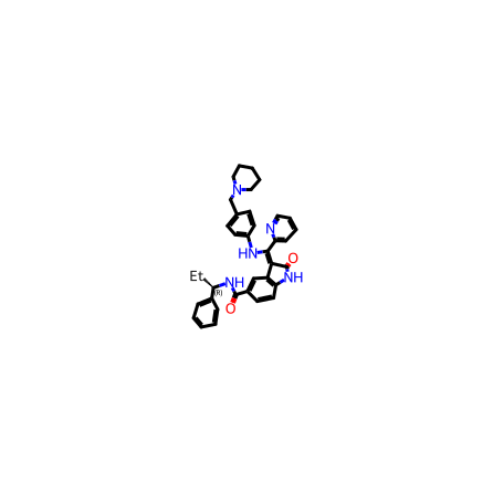 CC[C@@H](NC(=O)c1ccc2c(c1)C(=C(Nc1ccc(CN3CCCCC3)cc1)c1ccccn1)C(=O)N2)c1ccccc1